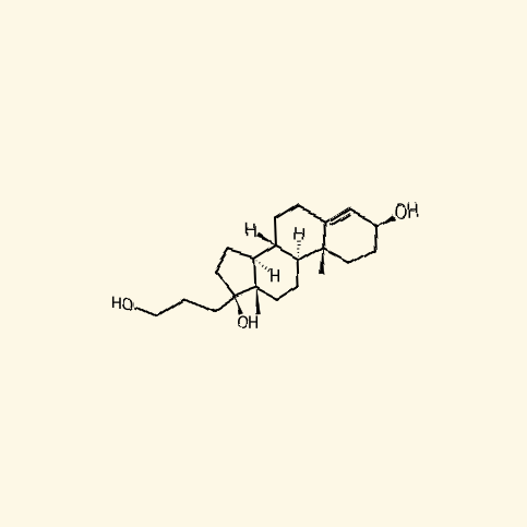 C[C@]12CC[C@H](O)C=C1CC[C@@H]1[C@@H]2CC[C@@]2(C)[C@H]1CC[C@@]2(O)CCCO